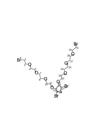 BrCCOCCOCCOCCOc1c(Br)sc(Br)c1OCCOCCOCCOCCBr